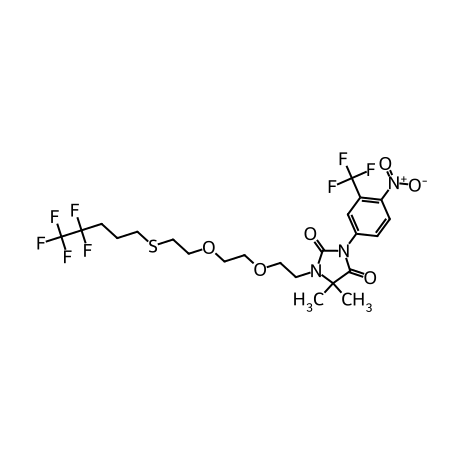 CC1(C)C(=O)N(c2ccc([N+](=O)[O-])c(C(F)(F)F)c2)C(=O)N1CCOCCOCCSCCCC(F)(F)C(F)(F)F